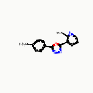 CSc1ncccc1-c1nnc(-c2ccc(C(=O)O)cc2)o1